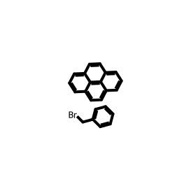 BrCc1ccccc1.c1cc2ccc3cccc4ccc(c1)c2c34